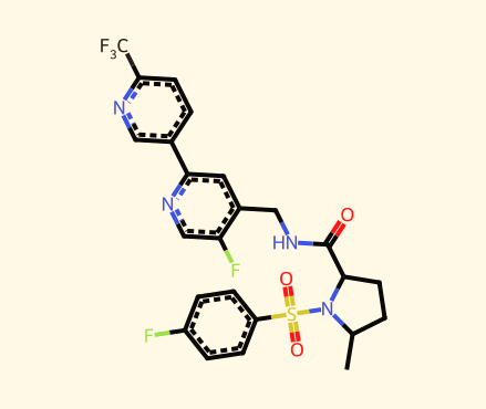 CC1CCC(C(=O)NCc2cc(-c3ccc(C(F)(F)F)nc3)ncc2F)N1S(=O)(=O)c1ccc(F)cc1